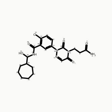 NC(=O)CCn1c(=O)cnn(-c2ccc(Cl)c(C(=O)NC(O)C3CCCCCC3)c2)c1=O